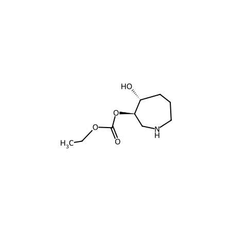 CCOC(=O)O[C@@H]1CNCCC[C@H]1O